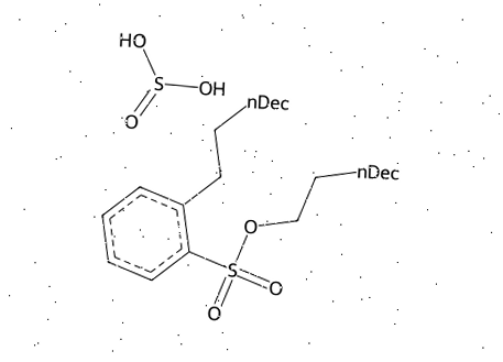 CCCCCCCCCCCCOS(=O)(=O)c1ccccc1CCCCCCCCCCCC.O=S(O)O